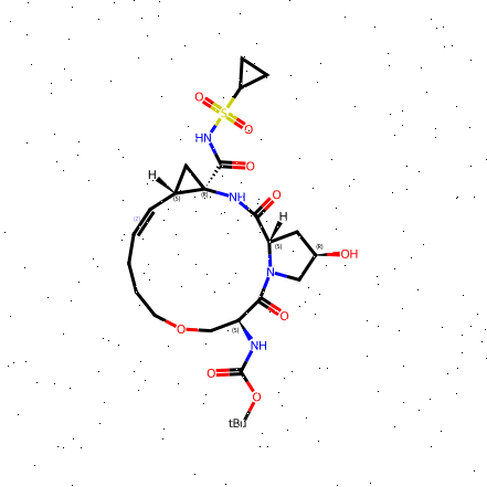 CC(C)(C)OC(=O)N[C@H]1COCCC/C=C\[C@@H]2C[C@@]2(C(=O)NS(=O)(=O)C2CC2)NC(=O)[C@@H]2C[C@@H](O)CN2C1=O